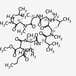 CCCC(=O)N(C)C(C(=O)OC)C(=O)N(C)[C@H](C(=O)N[C@H](C(=O)N(C)[C@@H](CC(C)C)C(=O)N[C@@H](C)C(=O)N[C@@H](C)C(=O)N(C)[C@@H](CC(C)C)C(=O)NC)C(C)C)C(C)C